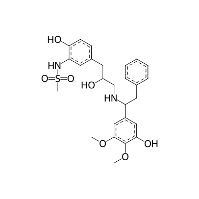 COc1cc(C(Cc2ccccc2)NCC(O)Cc2ccc(O)c(NS(C)(=O)=O)c2)cc(O)c1OC